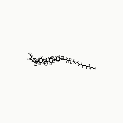 CCCCCCCCCCCCCCCCCOc1ccc(-c2ccc(C(=O)Oc3ccc(C(=O)OCC(C)CC)cc3)cc2)cc1